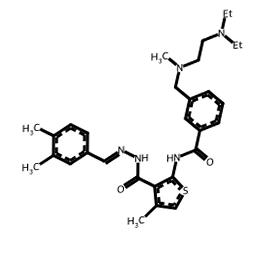 CCN(CC)CCN(C)Cc1cccc(C(=O)Nc2scc(C)c2C(=O)N/N=C/c2ccc(C)c(C)c2)c1